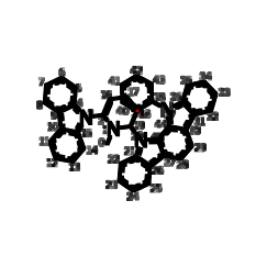 CN1C(n2c3ccccc3c3ccccc32)=CC=CC1n1c2ccccc2c2ccc3c4ccccc4n(-c4ccccc4)c3c21